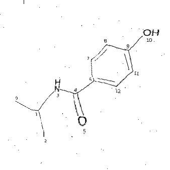 CC(I)NC(=O)c1ccc(O)cc1